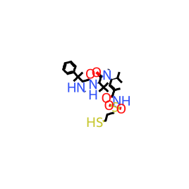 CN[C@H](C(=O)N[C@H](C(=O)N(C)[C@H](C=C(C)C(=O)NS(=O)(=O)CCCS)C(C)C)C(C)(C)C)C(C)(C)c1ccccc1